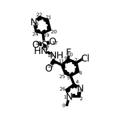 Cn1cnc(-c2cc(Cl)c(F)c(C(=O)NNS(=O)(=O)c3cccnc3)c2)c1